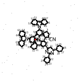 N#Cc1ccccc1-c1cc(-c2cc(-c3ccccc3)nc(-c3ccccc3)n2)cc(-c2ccccc2C#N)c1-n1c2ccc(-n3c4ccccc4c4ccccc43)cc2c2cc(-n3c4ccccc4c4ccccc43)ccc21